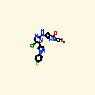 CNC(=O)[C@H]1C[C@H](Nc2ncc(Cl)c(-c3cnn(-c4ccc(F)cc4)c3)n2)C1